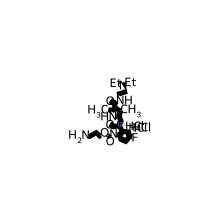 CCN(CC)CCNC(=O)c1c(C)[nH]c(/C=C2\C(=O)N(C(=O)OCCCN)c3ccc(F)cc32)c1C.Cl.Cl.Cl